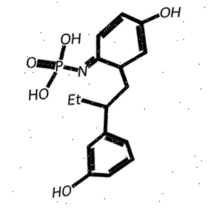 CCC(CC1C=C(O)C=CC1=NP(=O)(O)O)c1cccc(O)c1